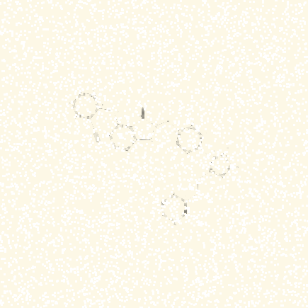 N#Cc1cccc(F)c1Oc1cccc2c1C(=O)N(Cc1ccc(-n3nccc3OCc3ccccc3)cc1)C2